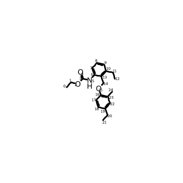 CCOC(=O)Nc1cccc(CC)c1COc1ccc(CC)cc1C